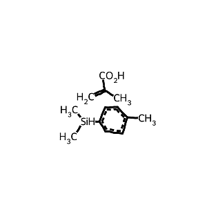 C=C(C)C(=O)O.Cc1ccc([SiH](C)C)cc1